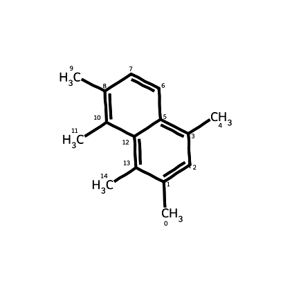 Cc1[c]c(C)c2ccc(C)c(C)c2c1C